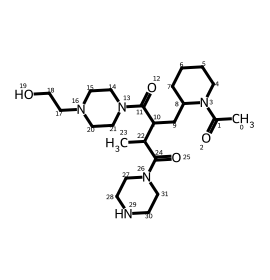 CC(=O)N1CCCCC1C[C](C(=O)N1CCN(CCO)CC1)C(C)C(=O)N1CCNCC1